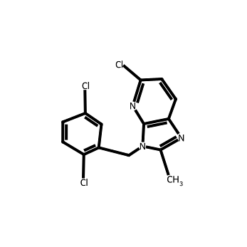 Cc1nc2ccc(Cl)nc2n1Cc1cc(Cl)ccc1Cl